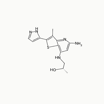 Cc1c(-c2ccn[nH]2)sc2c(NC[C@H](C)O)cc(N)nc12